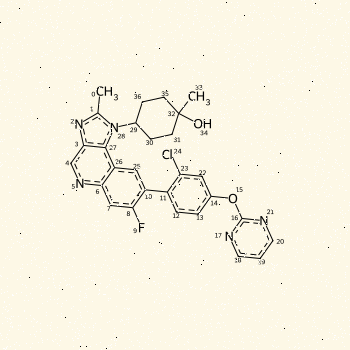 Cc1nc2cnc3cc(F)c(-c4ccc(Oc5ncccn5)cc4Cl)cc3c2n1C1CCC(C)(O)CC1